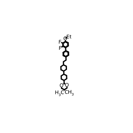 CCOc1ccc(-c2ccc(CCC3CCC(C4CCC(C5OCC(C)(C)CO5)CC4)CC3)cc2)c(F)c1F